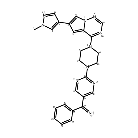 Cn1cc(-c2cc3c(N4CCN(c5ncc(C(=N)c6ccccc6)cn5)CC4)ncnn3c2)cn1